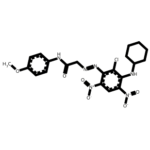 COc1ccc(NC(=O)CN=Nc2c([N+](=O)[O-])cc([N+](=O)[O-])c(NC3CCCCC3)c2Cl)cc1